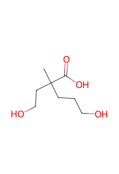 CC(CCO)(CCCO)C(=O)O